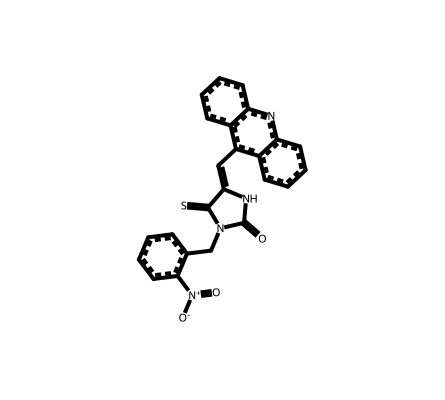 O=C1N/C(=C\c2c3ccccc3nc3ccccc23)C(=S)N1Cc1ccccc1[N+](=O)[O-]